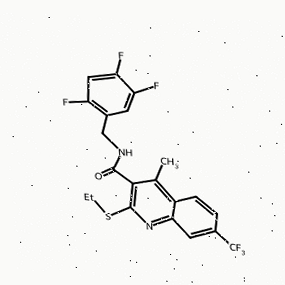 CCSc1nc2cc(C(F)(F)F)ccc2c(C)c1C(=O)NCc1cc(F)c(F)cc1F